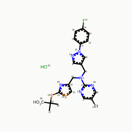 CCc1cnc(N(Cc2cnn(-c3ccc(F)cc3)c2)Cc2csc(SC(C)(C)C(=O)O)n2)nc1.Cl